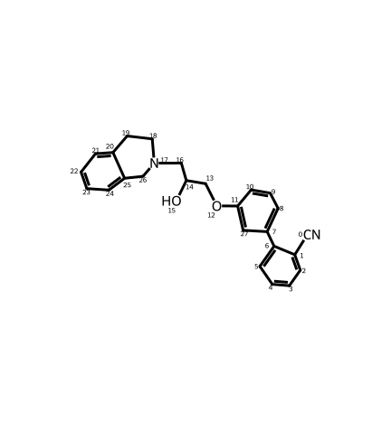 N#Cc1ccccc1-c1cccc(OCC(O)CN2CCc3ccccc3C2)c1